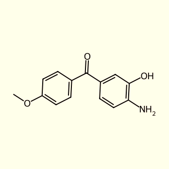 COc1ccc(C(=O)c2ccc(N)c(O)c2)cc1